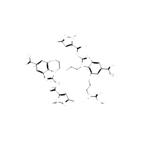 CCn1nc(C)cc1C(=O)Nc1nc2cc(C(N)=O)cc(OCCN(C)C(=O)OC(C)(C)C)c2n1CCC[C@H]1COc2cc(C(N)=O)cc3nc(NC(=O)c4cc(C)nn4CC)n1c23